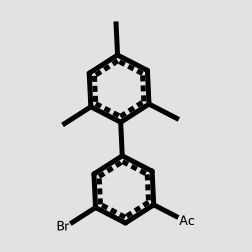 CC(=O)c1cc(Br)cc(-c2c(C)cc(C)cc2C)c1